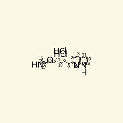 Cl.Cl.c1cc2c(nc1CCCCCOC1CNC1)NCCC2